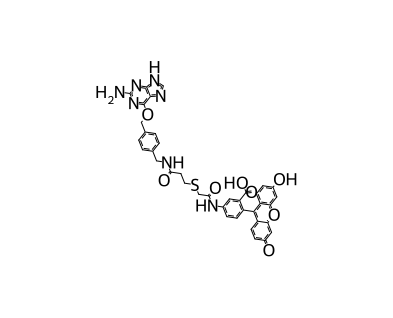 Nc1nc(OCc2ccc(CNC(=O)CCSCC(=O)Nc3ccc(-c4c5ccc(=O)cc-5oc5cc(O)ccc45)c(C(=O)O)c3)cc2)c2nc[nH]c2n1